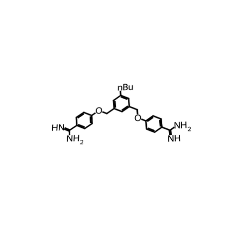 CCCCc1cc(COc2ccc(C(=N)N)cc2)cc(COc2ccc(C(=N)N)cc2)c1